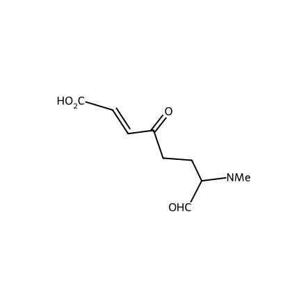 CNC(C=O)CCC(=O)/C=C/C(=O)O